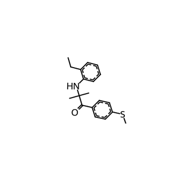 CCc1ccccc1NC(C)(C)C(=O)c1ccc(SC)cc1